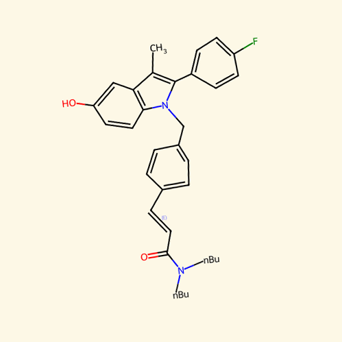 CCCCN(CCCC)C(=O)/C=C/c1ccc(Cn2c(-c3ccc(F)cc3)c(C)c3cc(O)ccc32)cc1